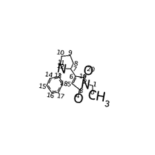 CCN1C(=O)C=C(C2CCCCN2c2ccccc2)C1=O